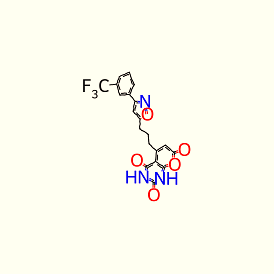 O=c1[nH]c(=O)c2c(CCCc3cc(-c4cccc(C(F)(F)F)c4)no3)cc(=O)oc2[nH]1